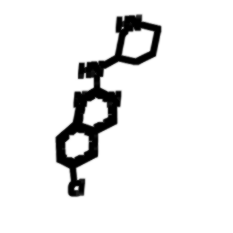 Clc1ccc2nc(NC3CCCNC3)ncc2c1